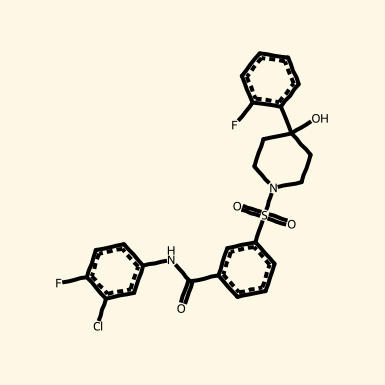 O=C(Nc1ccc(F)c(Cl)c1)c1cccc(S(=O)(=O)N2CCC(O)(c3ccccc3F)CC2)c1